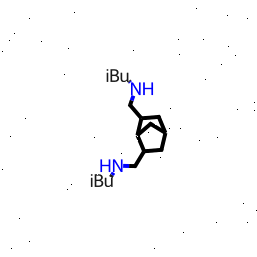 CCC(C)NCC1CC2CC(CNC(C)CC)C1C2